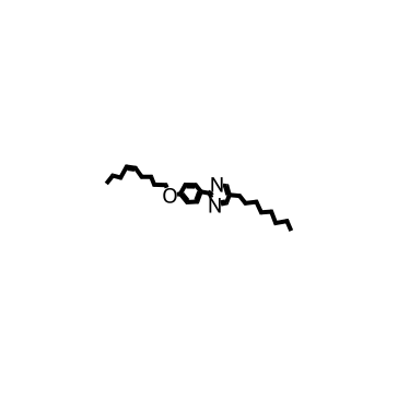 CCC/C=C\CCCCOc1ccc(-c2ncc(CCCCCCCC)cn2)cc1